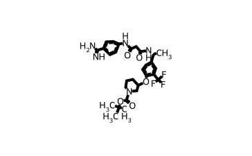 CC(NC(=O)CC(=O)Nc1ccc(C(=N)N)cc1)c1ccc(OC2CCCN(C(=O)OC(C)(C)C)C2)c(C(F)(F)F)c1